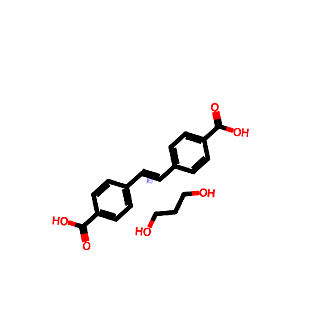 O=C(O)c1ccc(/C=C/c2ccc(C(=O)O)cc2)cc1.OCCCO